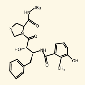 Cc1c(O)cccc1C(=O)N[C@@H](Cc1ccccc1)[C@H](O)C(=O)N1CSCC1C(=O)NC(C)(C)C